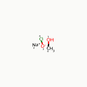 CO.[Na+].[O-]Cl